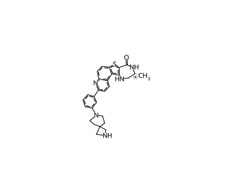 C[C@@H]1CNc2c(sc3ccc4nc(-c5cccc(N6CCC7(CC6)CNC7)c5)ccc4c23)C(=O)N1